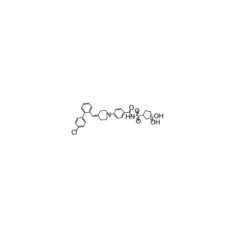 O=C(NS(=O)(=O)C1CCS(O)(O)C1)c1ccc(N2CCC(=Cc3ccccc3-c3ccc(Cl)cc3)CC2)cc1